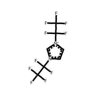 FC(F)(F)C(F)(F)n1cc[n+](C(F)(F)C(F)(F)F)c1